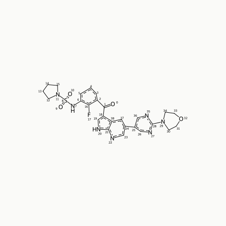 O=C(c1cccc(NS(=O)(=O)N2CCCC2)c1F)c1c[nH]c2ncc(-c3cnc(N4CCOCC4)nc3)cc12